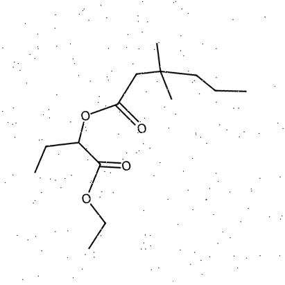 CCCC(C)(C)CC(=O)OC(CC)C(=O)OCC